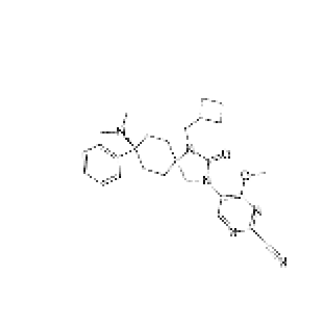 COc1nc(C#N)ncc1N1C[C@]2(CC[C@](c3ccccc3)(N(C)C)CC2)N(CC2CCC2)C1=O